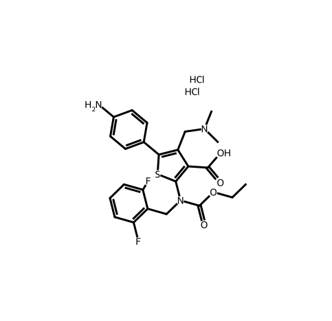 CCOC(=O)N(Cc1c(F)cccc1F)c1sc(-c2ccc(N)cc2)c(CN(C)C)c1C(=O)O.Cl.Cl